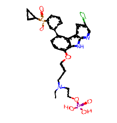 CCN(CCCOc1ccc(-c2cccc(S(=O)(=O)C3CC3)c2)c2c1[nH]c1ncc(Cl)cc12)CCOP(=O)(O)O